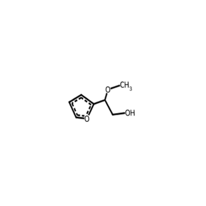 COC(CO)c1ccco1